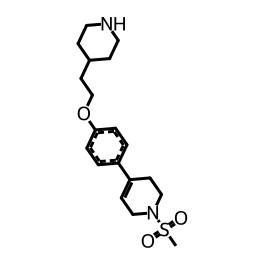 CS(=O)(=O)N1CC=C(c2ccc(OCCC3CCNCC3)cc2)CC1